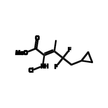 COC(=O)C(NCl)=C(C)C(F)(F)CC1CC1